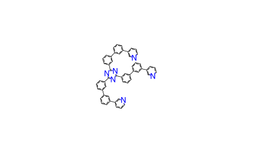 c1cncc(-c2cccc(-c3cccc(-c4nc(-c5cccc(-c6cccc(-c7cccnc7)c6)c5)nc(-c5cccc(-c6cccc(-c7cccnc7)c6)c5)n4)c3)c2)c1